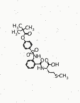 CSCC[C@@H](NC(=O)c1ccccc1NS(=O)(=O)c1ccc(OC(=O)C(C)(C)C)cc1)C(=O)O